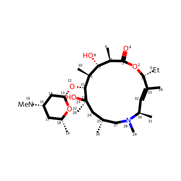 CC[C@H]1OC(=O)[C@H](C)[C@@H](O)[C@H](C)[C@@H](O[C@H]2C[C@@H](NC)C[C@@H](C)O2)[C@](C)(O)C[C@@H](C)CN(C)[C@H](C)/C=C/1C